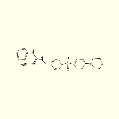 N#CN=C(NCc1ccc(S(=O)(=O)c2ccc(N3CCOCC3)nc2)cc1)Nc1ccncc1